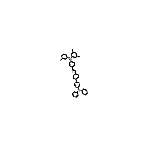 Cc1cccc(N(c2ccc(/C=C/c3ccc(-c4ccc(N(c5ccccc5)c5ccccc5)cc4)cc3)cc2)c2cc(C)cc(C)c2)c1